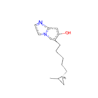 CC1C[C@H]1CCCCCc1cn2ccnc2cc1O